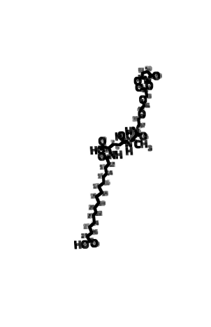 CC(C)(NC(=O)CCC(NC(=O)CCCCCCCCCCCCCCCCC(=O)O)C(=O)O)C(=O)NCCOCCOCC(=O)ON1C(=O)CCC1=O